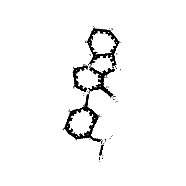 CCOc1cccc(-n2ccn3c(nc4ccccc43)c2=O)c1